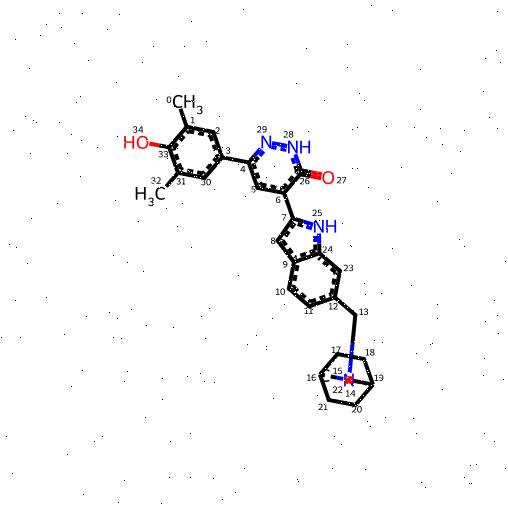 Cc1cc(-c2cc(-c3cc4ccc(CN5CC6CCC(CC6)C5)cc4[nH]3)c(=O)[nH]n2)cc(C)c1O